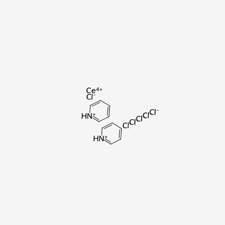 [Ce+4].[Cl-].[Cl-].[Cl-].[Cl-].[Cl-].[Cl-].c1cc[nH+]cc1.c1cc[nH+]cc1